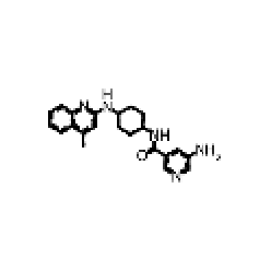 Cc1cc(NC2CCC(NC(=O)c3cncc(N)c3)CC2)nc2ccccc12